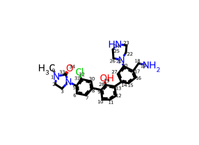 CN1CCN(c2ccc(-c3cccc(-c4ccc(CN)c(N5CCNCC5)c4)c3O)cc2Cl)C1=O